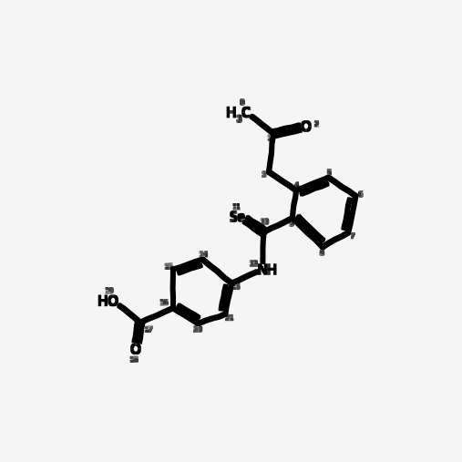 CC(=O)Cc1ccccc1C(=[Se])Nc1ccc(C(=O)O)cc1